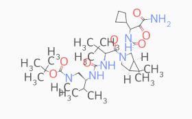 CC(C)[C@@H](CN(C)C(=O)OC(C)(C)C)NC(=O)N[C@H](C(=O)N1C[C@H]2[C@@H]([C@H]1C(=O)NC(C(=O)C(N)=O)C1CCC1)C2(C)C)C(C)(C)C